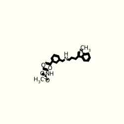 Cn1cc(CCCNCC2C=CC=C(C3=COC=C(NS(C)(=O)=O)O3)C2)c2ccccc21